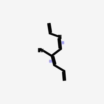 C=C/C=C(\C=N/C=C)C(C)C